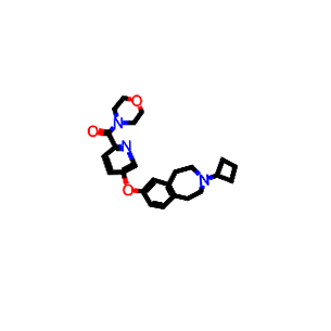 O=C(c1ccc(Oc2ccc3c(c2)CCN(C2CCC2)CC3)cn1)N1CCOCC1